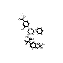 COC(=O)c1ccc([C@H]2C[C@@H](NC(=O)C3(c4ccc5c(c4)OC(F)(F)O5)CC3)C[C@@H](c3ccccc3)O2)c(F)c1